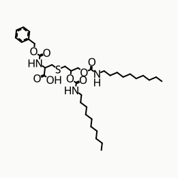 CCCCCCCCCCNC(=O)OCC(CSCC(NC(=O)OCc1ccccc1)C(=O)O)OC(=O)NCCCCCCCCCC